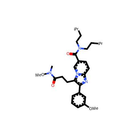 COc1cccc(-c2nc3ccc(C(=O)N(CCC(C)C)CCC(C)C)cn3c2CCC(=O)N(C)OC)c1